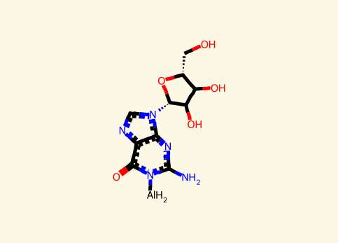 Nc1nc2c(ncn2[C@@H]2O[C@H](CO)C(O)C2O)c(=O)[n]1[AlH2]